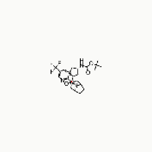 CC(C)(C)OC(=O)N[C@H]1CC[C@H](C(=O)N2C3CCC2CN(c2ncc(C(F)(F)F)cn2)C3)C1